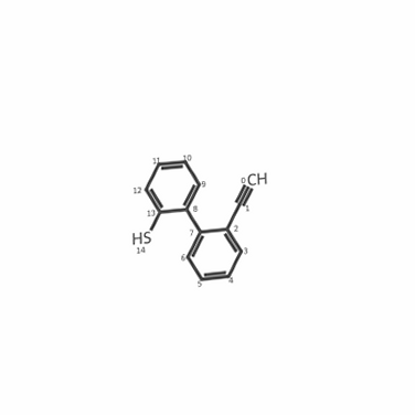 C#Cc1ccccc1-c1ccccc1S